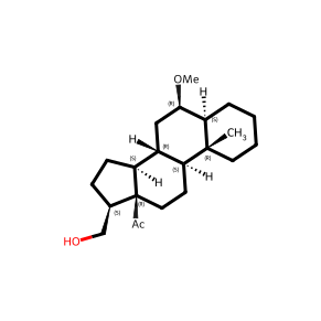 CO[C@@H]1C[C@@H]2[C@H](CC[C@]3(C(C)=O)[C@@H](CO)CC[C@@H]23)[C@@]2(C)CCCC[C@H]12